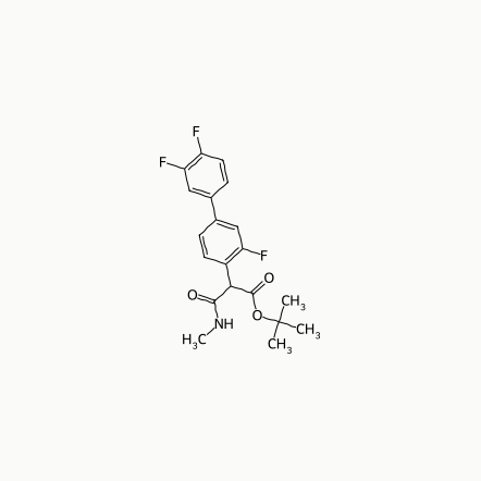 CNC(=O)C(C(=O)OC(C)(C)C)c1ccc(-c2ccc(F)c(F)c2)cc1F